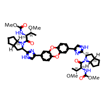 COC(=O)N[C@H](C(=O)N1C(c2nc(-c3ccc4c(c3)Oc3ccc(-c5c[nH]c([C@@H]6C[C@@H]7CCC[C@@H]7N6C(=O)[C@@H](NC(=O)OC)[C@@H](C)OC)n5)cc3O4)c[nH]2)C[C@@H]2CCC[C@@H]21)[C@@H](C)OC